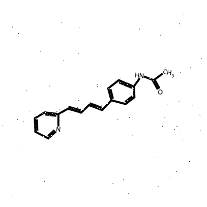 CC(=O)Nc1ccc(/C=C/C=C/c2ccccn2)cc1